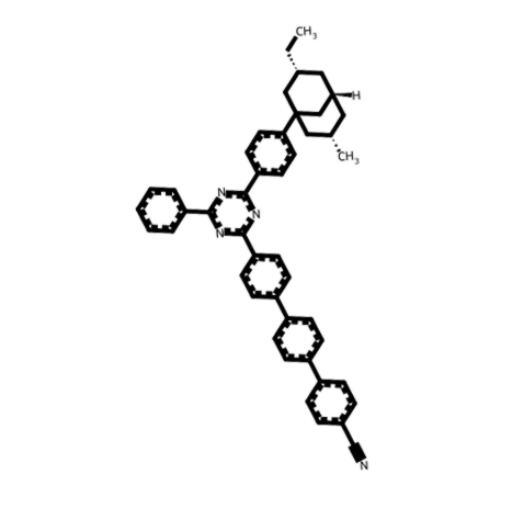 CC[C@@H]1C[C@@H]2C[C@H](C)CC(c3ccc(-c4nc(-c5ccccc5)nc(-c5ccc(-c6ccc(-c7ccc(C#N)cc7)cc6)cc5)n4)cc3)(C1)C2